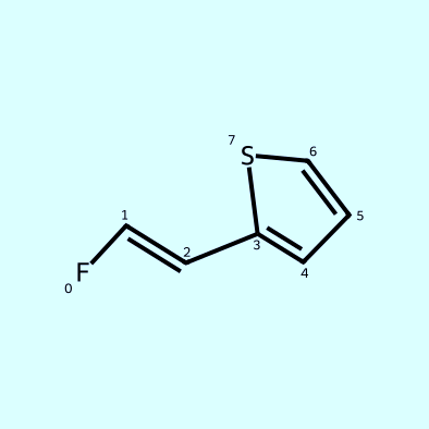 F/C=C/c1cccs1